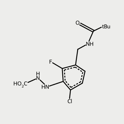 CC(C)(C)C(=O)NCc1ccc(Cl)c(NNC(=O)O)c1F